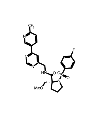 COC[C@@]1(C(=O)NCc2cc(-c3ccc(C(F)(F)F)nc3)ncn2)CCCN1S(=O)(=O)c1ccc(F)cc1